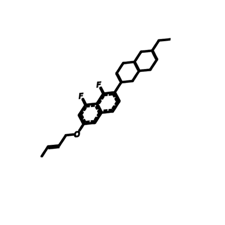 CC=CCOc1cc(F)c2c(F)c(C3CCC4CC(CC)CCC4C3)ccc2c1